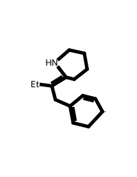 CCC(CC1=CC[CH]C=C1)=C1CCCCN1